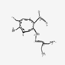 C/C(N)=N/Nc1cc(Br)c(F)cc1[N+](=O)[O-]